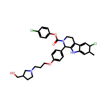 CC1C=c2[nH]c3c(c2=CC1Cl)CCN(C(=O)Oc1ccc(Cl)cc1)C3c1ccc(OCCCN2CCC(CO)C2)cc1